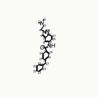 CN(C)CCn1cc2cc(NC(=O)c3ccc(Cc4ccccc4)cc3)ccc2n1